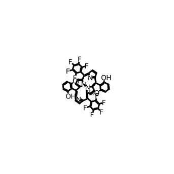 Oc1cccc(O)c1-c1c2nc(c(-c3c(F)c(F)c(F)c(F)c3F)c3ccc4c(-c5c(O)cccc5O)c5nc(c(-c6c(F)c(F)c(F)c(F)c6F)c6ccc1n6n43)C=C5)C=C2